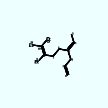 C=CC/C(=C/C)CCC(CC)=C(CC)CC